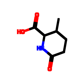 CC1CCC(=O)NC1C(=O)O